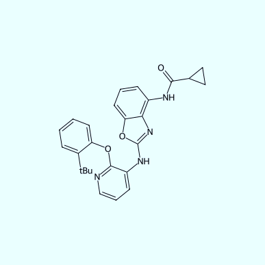 CC(C)(C)c1ccccc1Oc1ncccc1Nc1nc2c(NC(=O)C3CC3)cccc2o1